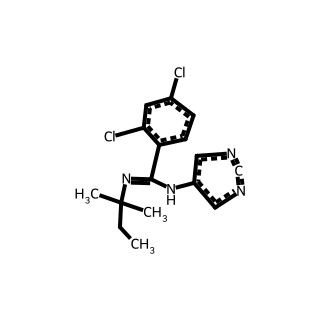 CCC(C)(C)/N=C(\Nc1cncnc1)c1ccc(Cl)cc1Cl